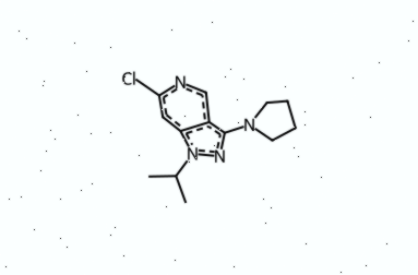 CC(C)n1nc(N2CCCC2)c2cnc(Cl)cc21